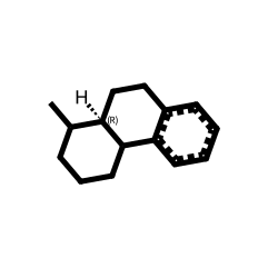 CC1CCCC2c3ccccc3CC[C@H]12